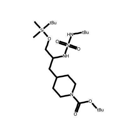 CC(C)(C)NS(=O)(=O)NC(CO[Si](C)(C)C(C)(C)C)CC1CCN(C(=O)OC(C)(C)C)CC1